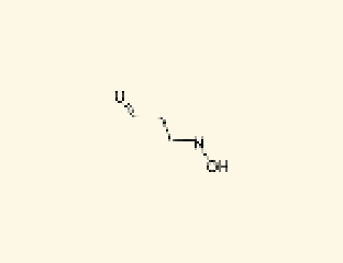 O=CCC=NO